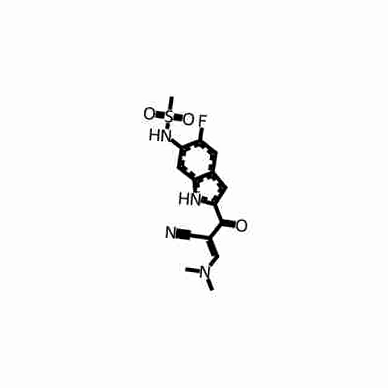 CN(C)C=C(C#N)C(=O)c1cc2cc(F)c(NS(C)(=O)=O)cc2[nH]1